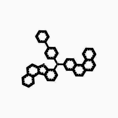 c1ccc(-c2ccc(N(c3ccc4c(ccc5ccc6ccccc6c54)c3)c3cccc4c3sc3ccc5ccccc5c34)cc2)cc1